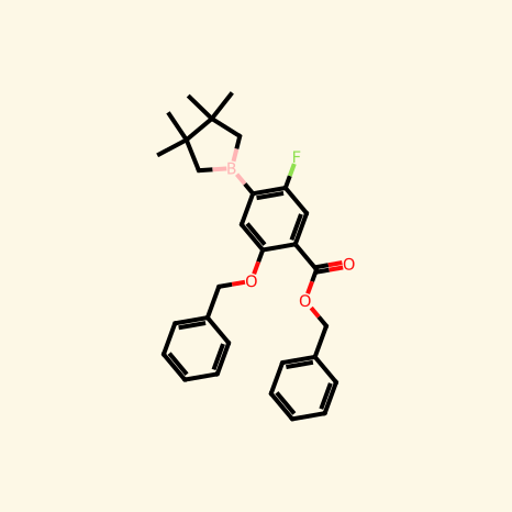 CC1(C)CB(c2cc(OCc3ccccc3)c(C(=O)OCc3ccccc3)cc2F)CC1(C)C